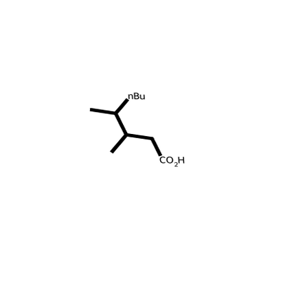 CCCCC(C)C(C)CC(=O)O